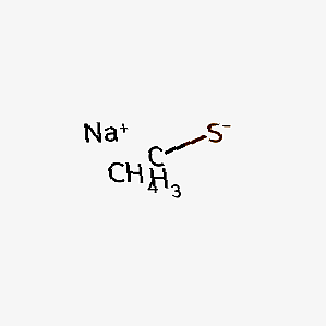 C.C[S-].[Na+]